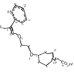 CC(=NOCCOC1CCN(C(=O)O)CC1)c1ccccn1